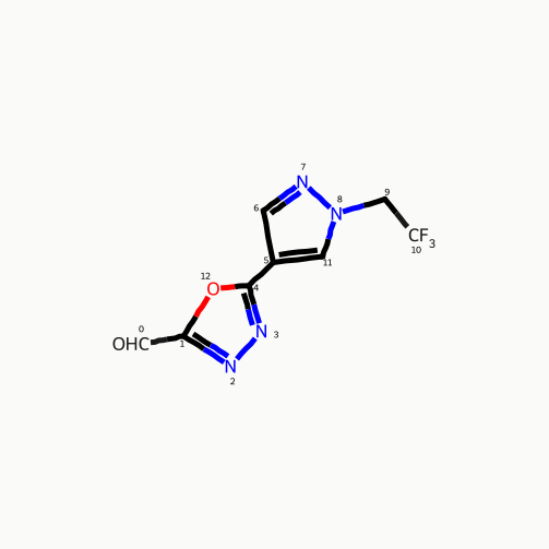 O=Cc1nnc(-c2cnn(CC(F)(F)F)c2)o1